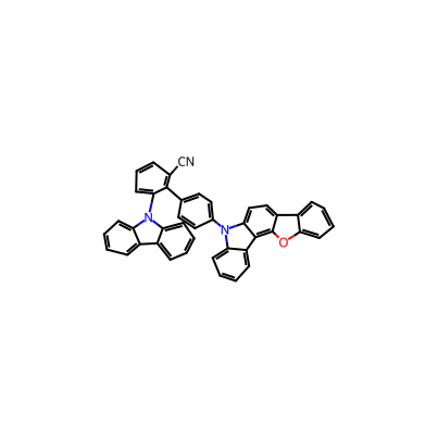 N#Cc1cccc(-n2c3ccccc3c3ccccc32)c1-c1ccc(-n2c3ccccc3c3c4oc5ccccc5c4ccc32)cc1